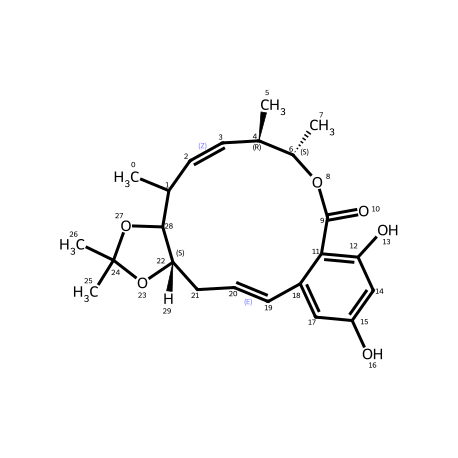 CC1/C=C\[C@@H](C)[C@H](C)OC(=O)c2c(O)cc(O)cc2/C=C/C[C@@H]2OC(C)(C)OC12